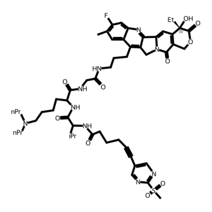 CCCN(CCC)CCCCC(NC(=O)C(NC(=O)CCCC#Cc1cnc(S(C)(=O)=O)nc1)C(C)C)C(=O)NCC(=O)NCCCc1c2c(nc3cc(F)c(C)cc13)-c1cc3c(c(=O)n1C2)COC(=O)[C@]3(O)CC